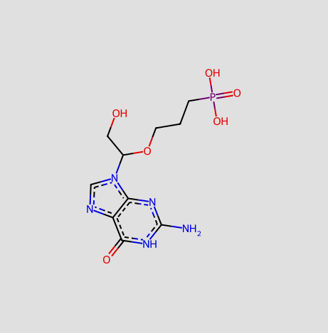 Nc1nc2c(ncn2C(CO)OCCCP(=O)(O)O)c(=O)[nH]1